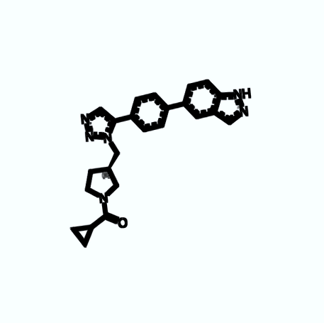 O=C(C1CC1)N1CC[C@@H](Cn2nncc2-c2ccc(-c3ccc4[nH]ncc4c3)cc2)C1